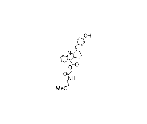 COCCNC(=O)COC(=O)c1c2c(nc3ccccc13)/C(=C/c1ccc(O)cc1)CCC2